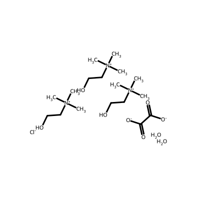 C[N+](C)(C)CCO.C[N+](C)(C)CCO.C[N+](C)(C)CCO.O.O.O=C([O-])C(=O)[O-].[Cl-]